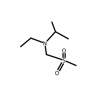 CCN(CS(C)(=O)=O)C(C)C